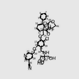 CC1(C)C(c2ccccc2)=CC=CC1(COc1cc(OCc2cncc(C#N)c2)c(CNC(CO)(CO)CO)cc1Cl)C(=O)N1CCOCC1